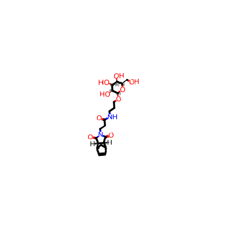 O=C(CCN1C(=O)[C@@H]2C3C=CC(C3)[C@@H]2C1=O)NCCCO[C@@H]1O[C@H](CO)[C@H](O)[C@H](O)[C@H]1O